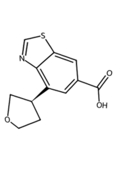 O=C(O)c1cc([C@H]2CCOC2)c2ncsc2c1